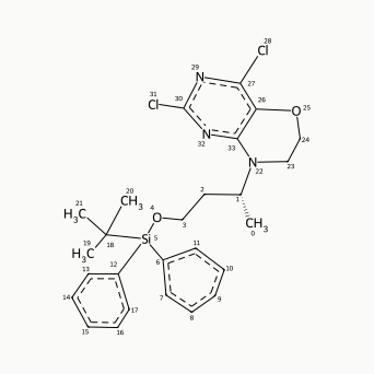 C[C@H](CCO[Si](c1ccccc1)(c1ccccc1)C(C)(C)C)N1CCOc2c(Cl)nc(Cl)nc21